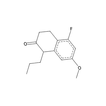 CCCC1C(=O)CCc2c(F)cc(OC)cc21